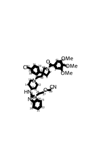 COc1cc(C(=O)N2CCC(CCN3CCC(Nc4nc5ccccc5n4CCOCC#N)CC3)(c3ccc(Cl)cc3)C2)cc(OC)c1OC